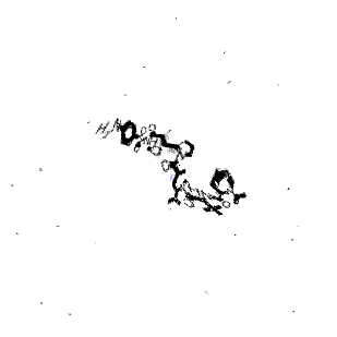 CO[C@H]([C@@H](C)C(=O)NS(=O)(=O)c1ccc(N)cc1)[C@@H]1CCCN1C(=O)/C(C)=C/C(C(C)C)N(C)C(=O)[C@@H](NC(=O)[C@H]1CCCCN1C(C)C)C(C)(C)C